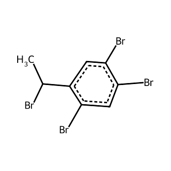 CC(Br)c1cc(Br)c(Br)cc1Br